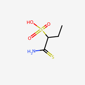 CCC(C(N)=S)S(=O)(=O)O